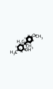 COc1ccc(C(C)(C)[C@@H]2CC[C@@H](C)C[C@H]2O)cc1